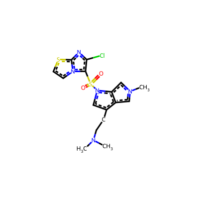 CN(C)CCc1cn(S(=O)(=O)c2c(Cl)nc3sccn23)c2cn(C)cc12